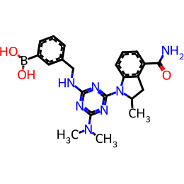 CC1Cc2c(C(N)=O)cccc2N1c1nc(NCc2cccc(B(O)O)c2)nc(N(C)C)n1